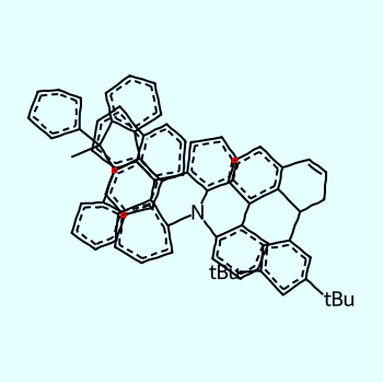 CC(C)(C)c1cc(C2CC=Cc3cccc(-c4ccccc4N(c4ccccc4-c4cccc5c4-c4ccccc4C5(C)c4ccccc4)c4ccccc4-c4cccc5cccc(-c6ccccc6)c45)c32)cc(C(C)(C)C)c1